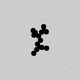 c1ccc(-c2ccc(N(c3ccc(-c4ccccc4)cc3)c3cccc(-c4cccc(-c5cc(-c6ccc7c(c6)c6ccccc6n7-c6ccccc6)cc(-c6cccc7c6oc6ccccc67)c5)c4)c3)cc2)cc1